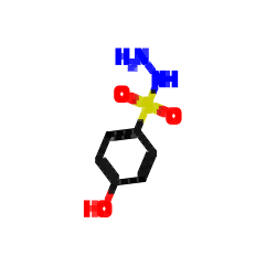 NNS(=O)(=O)c1ccc(O)cc1